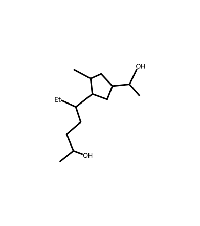 CCC(CCC(C)O)C1CC(C(C)O)CC1C